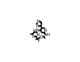 CC(=O)Nc1cc(Nc2cc(C)nc(C(C)(C)F)n2)c(-c2ccncn2)cn1